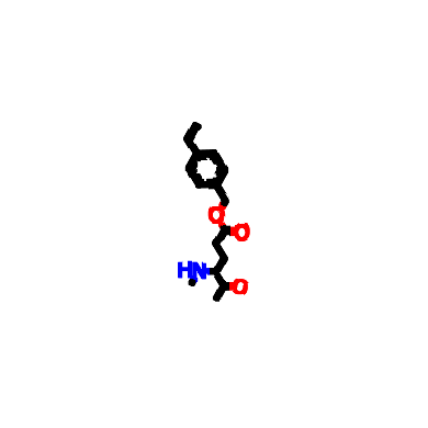 C=Cc1ccc(COC(=O)CCC(NC)C(C)=O)cc1